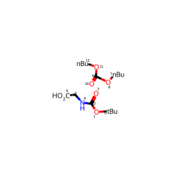 CC(C)(C)OC(=O)NCC(=O)O.CCCCOC(=O)OCCCC